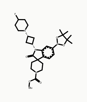 CC(C)(C)OC(=O)N1CCC2(CC1)C(=O)N([C@H]1C[C@@H](N3CCC(F)CC3)C1)c1cc(B3OC(C)(C)C(C)(C)O3)ccc12